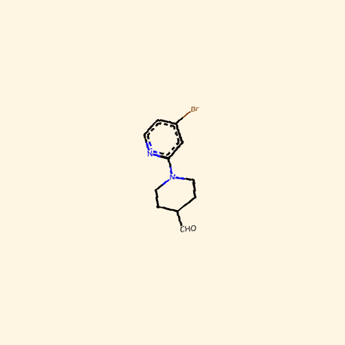 O=CC1CCN(c2cc(Br)ccn2)CC1